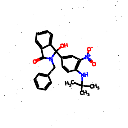 CC(C)(C)Nc1ccc(C2(O)c3ccccc3C(=O)N2Cc2ccccc2)cc1[N+](=O)[O-]